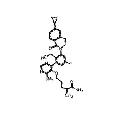 C=C(CCCOc1c(N)ncnc1-c1cc(F)cc(N2CCc3cc(C4CC4)ccc3C2=O)c1CO)C(N)=O